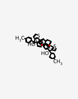 Cc1ccc(C(O)(c2ccc(C)cc2)c2ccsc2-c2ccc3cc(-c4sccc4C(O)(c4ccc(C)cc4)c4ccc(C)cc4)ccc3c2)cc1